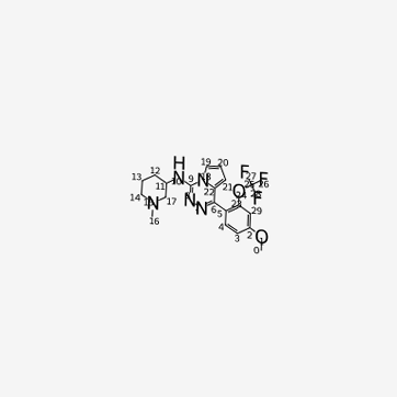 COc1ccc(-c2nnc(NC3CCCN(C)C3)n3cccc23)c(OC(F)(F)F)c1